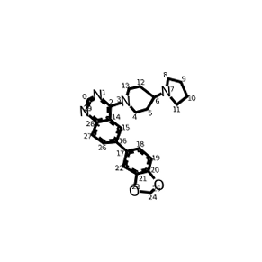 c1nc(N2CCC(N3CCCC3)CC2)c2cc(-c3ccc4c(c3)OCO4)ccc2n1